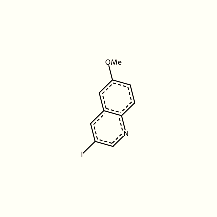 COc1ccc2ncc(I)cc2c1